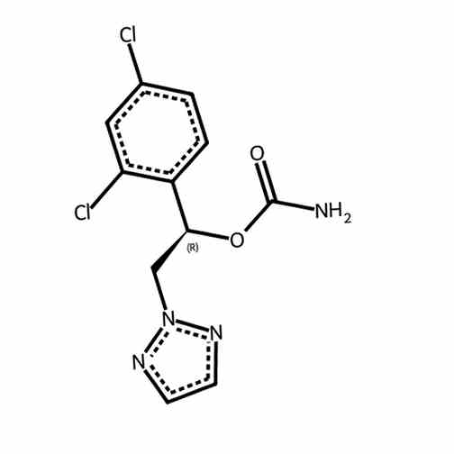 NC(=O)O[C@@H](Cn1nccn1)c1ccc(Cl)cc1Cl